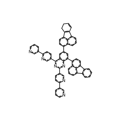 C1=CC2=C(CC1)c1ccc(-c3cc(-c4ccc5c6c(cccc46)-c4ccccc4-5)c4nc(-c5ccc(-c6cccnc6)nc5)nc(-c5ccc(-c6cccnc6)nc5)c4c3)c3cccc2c13